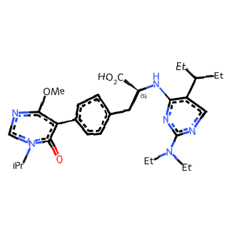 CCC(CC)c1cnc(N(CC)CC)nc1N[C@@H](Cc1ccc(-c2c(OC)ncn(C(C)C)c2=O)cc1)C(=O)O